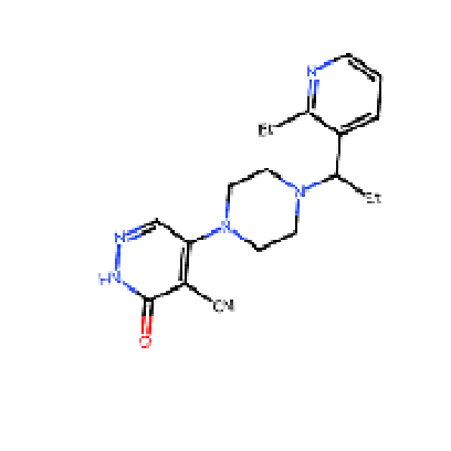 CCc1ncccc1C(CC)N1CCN(c2cn[nH]c(=O)c2C#N)CC1